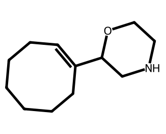 C1=C(C2CNCCO2)CCCCCC1